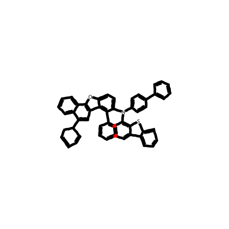 C1=CCC(c2cc3c(oc4ccc(N(c5ccc(-c6ccccc6)cc5)c5cccc6c5sc5ccccc56)c(-c5ccccc5)c43)c3ccccc23)C=C1